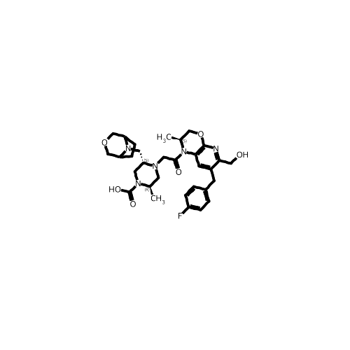 C[C@@H]1CN(CC(=O)N2c3cc(Cc4ccc(F)cc4)c(CO)nc3OC[C@@H]2C)[C@@H](CN2C3CCC2COC3)CN1C(=O)O